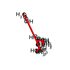 COCCOCCOCCC(=O)NCCCCCCCCCCCCCCCCCCCCCCCC(=O)NCCCCCCC(CN=C(B=O)CCCCN(CCCN(C)B(C)O)B(C)O)C/N=B\OCCCCCN(CCCN(C)B(C)O)B(C)O